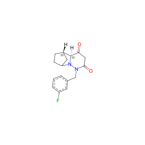 O=C1CC(=O)N(Cc2cccc(F)c2)N2C3CC[C@@H](C3)[C@@H]12